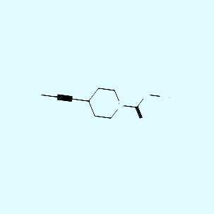 CC#CC1CCN(C(=O)OC(C)(C)C)CC1